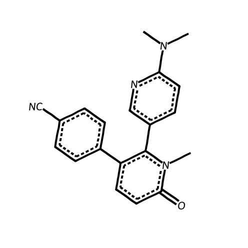 CN(C)c1ccc(-c2c(-c3ccc(C#N)cc3)ccc(=O)n2C)cn1